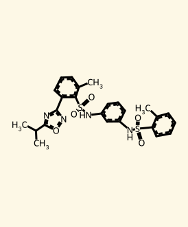 Cc1ccccc1S(=O)(=O)Nc1cccc(NS(=O)(=O)c2c(C)cccc2-c2noc(C(C)C)n2)c1